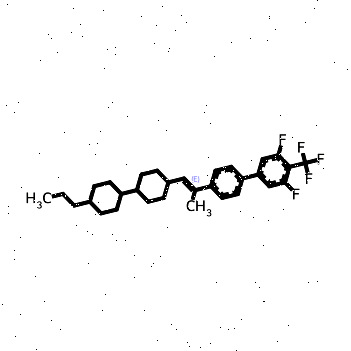 CCCC1CCC(C2CCC(/C=C(\C)c3ccc(-c4cc(F)c(C(F)(F)F)c(F)c4)cc3)CC2)CC1